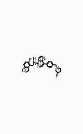 Fc1ccc2c(c1CNc1ncc(-c3ccc(CN4CCC(F)C4)cc3)c3nccn13)CCO2